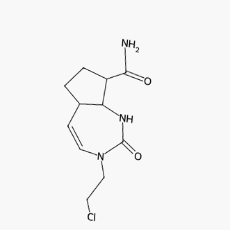 NC(=O)C1CCC2C=CN(CCCl)C(=O)NC21